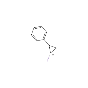 I[C@H]1CC1c1ccccc1